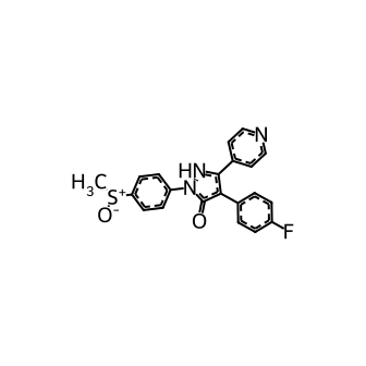 C[S+]([O-])c1ccc(-n2[nH]c(-c3ccncc3)c(-c3ccc(F)cc3)c2=O)cc1